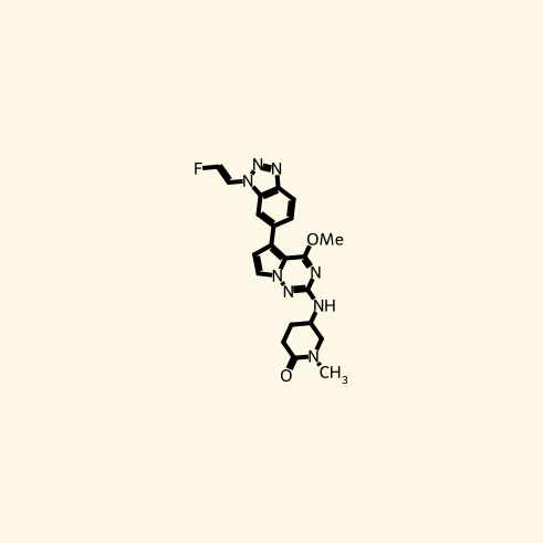 COc1nc(NC2CCC(=O)N(C)C2)nn2ccc(-c3ccc4nnn(C=CF)c4c3)c12